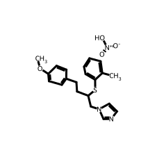 COc1ccc(CCC(Cn2ccnc2)Sc2ccccc2C)cc1.O=[N+]([O-])O